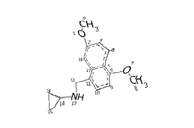 COc1ccc2c(OC)ccc(CNC3CC3)c2c1